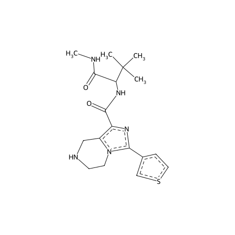 CNC(=O)C(NC(=O)c1nc(-c2ccsc2)n2c1CNCC2)C(C)(C)C